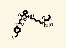 C/C=C\C(=O)N(C=O)CCCCCNC(=O)C1(C(=O)NCC(=O)Nc2ccc(CCl)cc2)CCC1